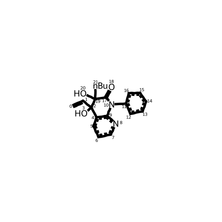 C=CC1(O)c2cccnc2N(c2ccccc2)C(=O)C1(O)CCCC